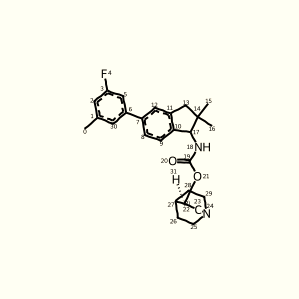 Cc1cc(F)cc(-c2ccc3c(c2)CC(C)(C)C3NC(=O)O[C@H]2CN3CCC2CC3)c1